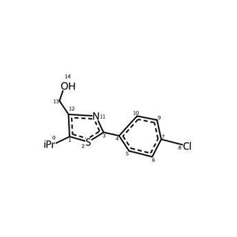 CC(C)c1sc(-c2ccc(Cl)cc2)nc1CO